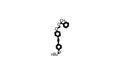 CCCCOc1ccc(C#Cc2ccc(OCOC(C)c3ccccc3)cc2)cc1